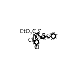 CCOC(=O)c1nn(-c2ccc(Cl)cc2Cl)c(-c2ccc(C=CC3CCCCC3)s2)c1C